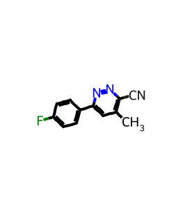 Cc1cc(-c2ccc(F)cc2)nnc1C#N